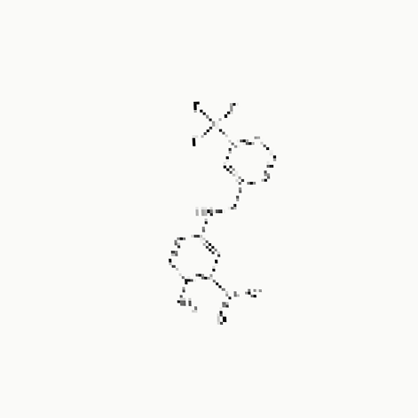 Nc1ccc(NCc2cccc(C(F)(F)F)c2)cc1[N+](=O)[O-]